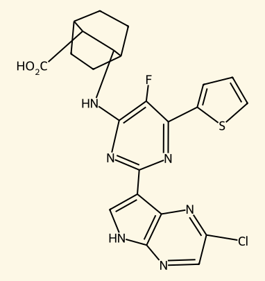 O=C(O)C1C2CCC(CC2)C1Nc1nc(-c2c[nH]c3ncc(Cl)nc23)nc(-c2cccs2)c1F